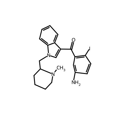 CN1CCCCC1Cn1cc(C(=O)c2cc(N)ccc2I)c2ccccc21